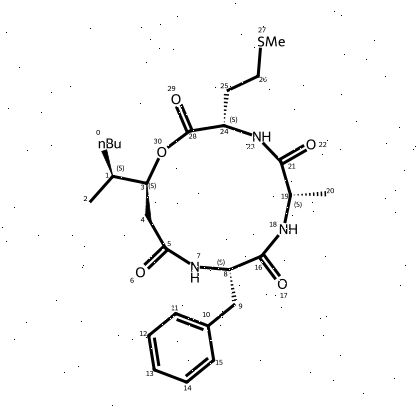 CCCC[C@H](C)[C@@H]1CC(=O)N[C@@H](Cc2ccccc2)C(=O)N[C@@H](C)C(=O)N[C@@H](CCSC)C(=O)O1